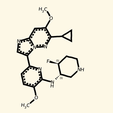 COc1ccc(-c2cnc3cc(OC)c(C4CC4)nn23)nc1N[C@H]1CNCC[C@@H]1F